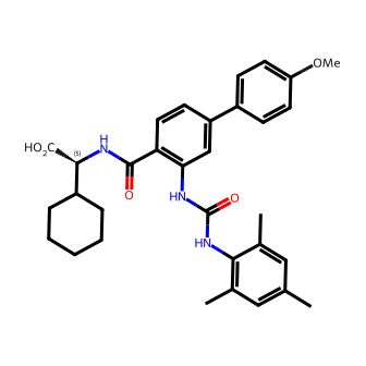 COc1ccc(-c2ccc(C(=O)N[C@H](C(=O)O)C3CCCCC3)c(NC(=O)Nc3c(C)cc(C)cc3C)c2)cc1